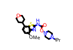 COc1ccc(C2CCOCC2)c2sc(NC(=O)ON3CCN(C(C)C)CC3)nc12